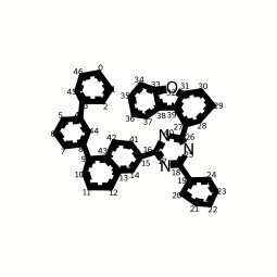 c1ccc(-c2cccc(-c3cccc4cc(-c5nc(-c6ccccc6)nc(-c6cccc7oc8ccccc8c67)n5)ccc34)c2)cc1